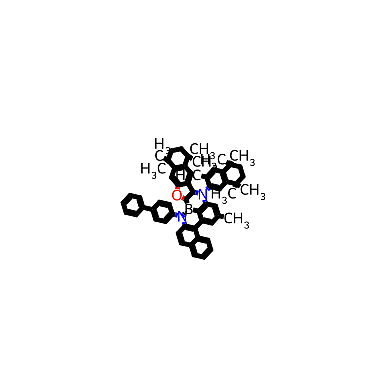 Cc1cc2c3c(c1)N(c1cc4c(cc1C)C(C)(C)CCC4(C)C)C1c4cc5c(cc4OC1B3N(c1ccc(-c3ccccc3)cc1)c1ccc3ccccc3c1-2)C(C)(C)CCC5(C)C